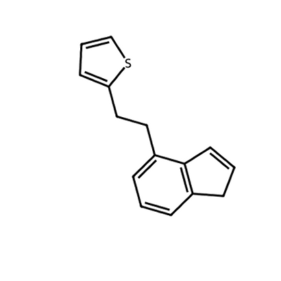 C1=Cc2c(cccc2CCc2cccs2)C1